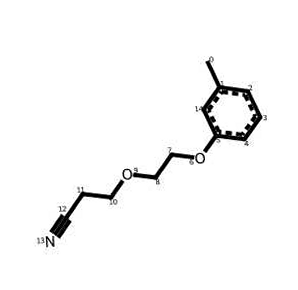 Cc1cccc(OCCOCCC#N)c1